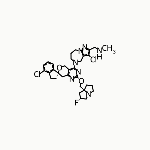 CNCc1nn2c(c1Cl)CN(c1nc(OC[C@@]34CCCN3C[C@H](F)C4)nc3c1CO[C@@]1(CCc4c(Cl)cccc41)C3)CCC2